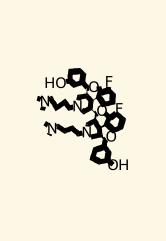 Cc1c(F)cccc1[C@H]1[C@@H](C(=O)c2cccc(O)c2)CN(CCCCN(C)C)C[C@H]1C(=O)[C@@H]1CN(CCCCN(C)C)C[C@H](C(=O)c2cccc(O)c2)[C@@H]1c1cccc(F)c1C